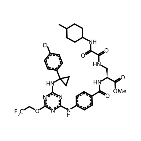 COC(=O)[C@H](CNC(=O)C(=O)NC1CCC(C)CC1)NC(=O)c1ccc(Nc2nc(NC3(c4ccc(Cl)cc4)CC3)nc(OCC(F)(F)F)n2)cc1